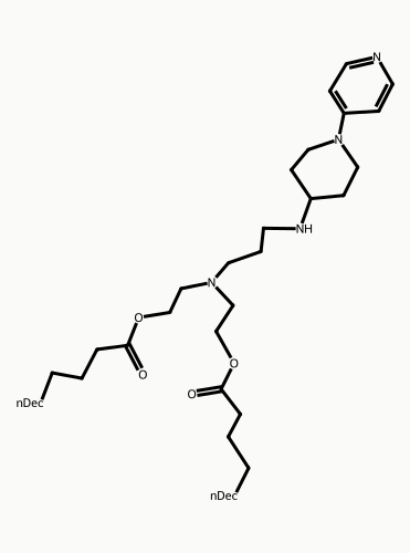 CCCCCCCCCCCCCC(=O)OCCN(CCCNC1CCN(c2ccncc2)CC1)CCOC(=O)CCCCCCCCCCCCC